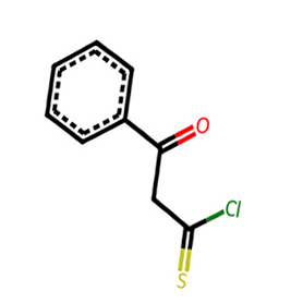 O=C(CC(=S)Cl)c1ccccc1